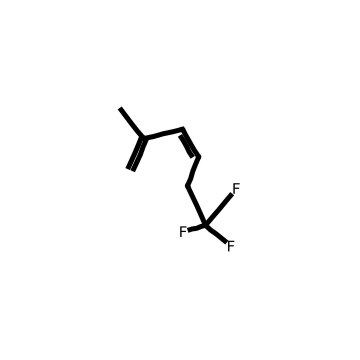 C=C(C)/C=C\CC(F)(F)F